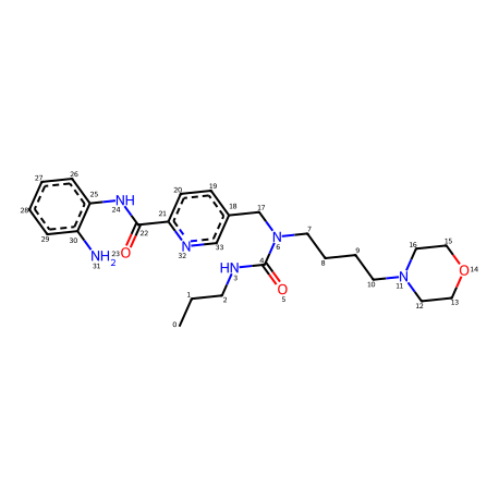 CCCNC(=O)N(CCCCN1CCOCC1)Cc1ccc(C(=O)Nc2ccccc2N)nc1